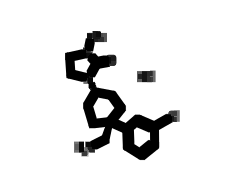 CCCCN1CCN([C@H]2CC[C@@](CN)(c3cccc(Cl)c3)CC2)C1=O.Cl